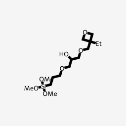 CCC1(COCC(O)COCCC[Si](OC)(OC)OC)COC1